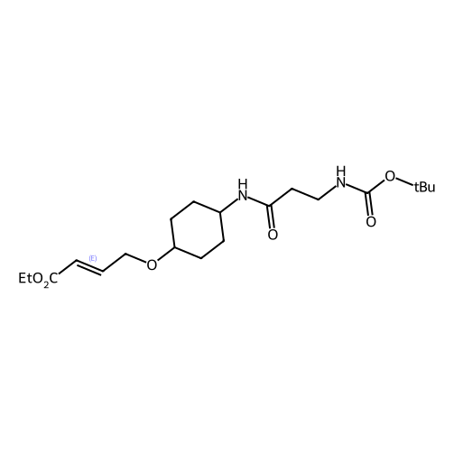 CCOC(=O)/C=C/COC1CCC(NC(=O)CCNC(=O)OC(C)(C)C)CC1